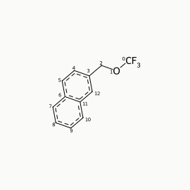 FC(F)(F)OCc1ccc2ccccc2c1